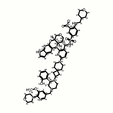 COc1cc(CN2CCN(C3CC4(CCN(c5ccc(C(=O)NS(=O)(=O)c6ccc(NCC7CCOCC7)c([N+](=O)[O-])c6)c(N6c7cc8cc[nH]c8nc7O[C@H]7COCC[C@@H]76)n5)CC4)C3)[C@H](c3ccccc3C)C2)cnc1N1CCOCC1